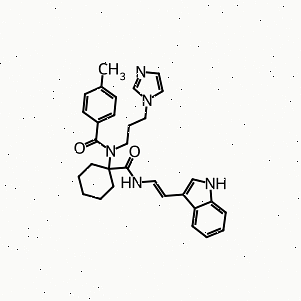 Cc1ccc(C(=O)N(CCCn2ccnc2)C2(C(=O)N/C=C/c3c[nH]c4ccccc34)CCCCC2)cc1